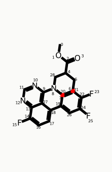 COC(=O)C1CCCN(c2ncnc3c(F)ccc(-c4ccc(F)c(F)c4)c23)C1